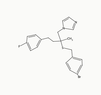 CC(CCc1ccc(F)cc1)(Cn1ccnc1)SCc1ccc(Br)cc1